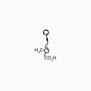 CC1C(CC(=O)O)CCN1CCC#Cc1ccccc1